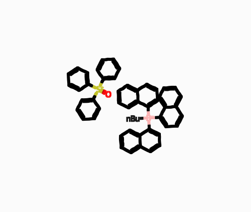 CCCC[B-](c1cccc2ccccc12)(c1cccc2ccccc12)c1cccc2ccccc12.O=[S+](c1ccccc1)(c1ccccc1)c1ccccc1